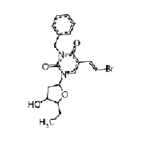 CC[C@@H]1O[C@H](n2cc(/C=C/Br)c(=O)n(Cc3ccccc3)c2=O)CC1O